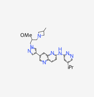 COC(CN1CC(C)C1)Cn1cc(-c2cnc3ccc(Nc4cc(C(C)C)cnn4)nc3c2)cn1